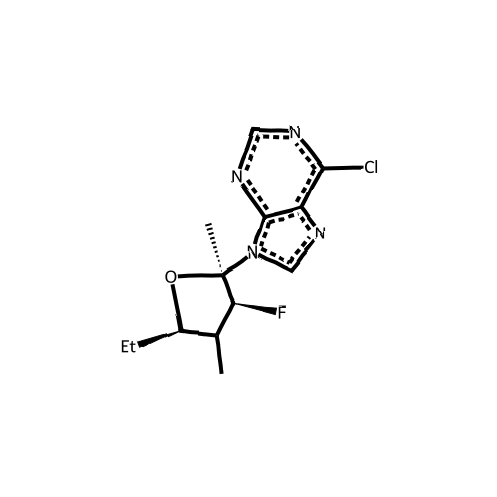 CC[C@H]1O[C@@](C)(n2cnc3c(Cl)ncnc32)[C@@H](F)C1C